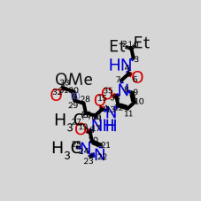 CCC(CC)CNC(=O)Cn1cccc(NC(=O)[C@@H](NC(=O)c2cncn2C)[C@@H](C)C/C=C/C(=O)OC)c1=O